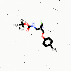 Cc1ccc(OC/C(=C/F)CNC(=O)OC(C)(C)C)cc1